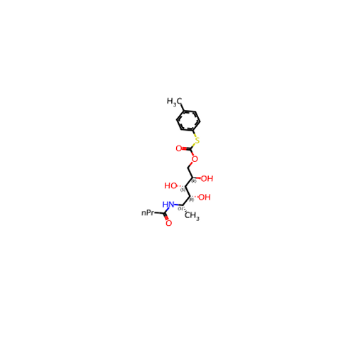 CCCC(=O)N[C@@H](C)[C@@H](O)[C@H](O)[C@H](O)COC(=O)Sc1ccc(C)cc1